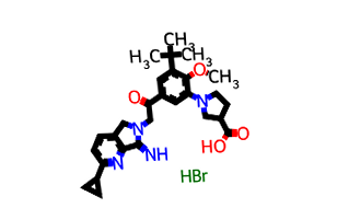 Br.COc1c(N2CCC(C(=O)O)C2)cc(C(=O)CN2Cc3ccc(C4CC4)nc3C2=N)cc1C(C)(C)C